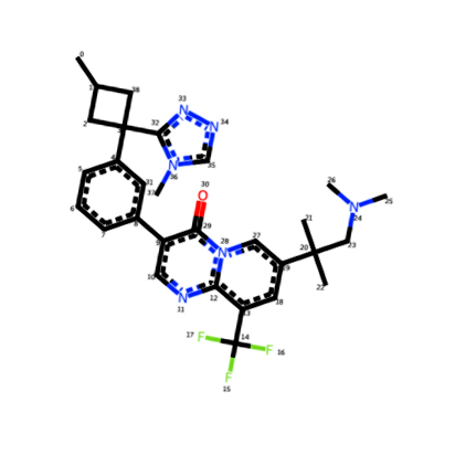 CC1CC(c2cccc(-c3cnc4c(C(F)(F)F)cc(C(C)(C)CN(C)C)cn4c3=O)c2)(c2nncn2C)C1